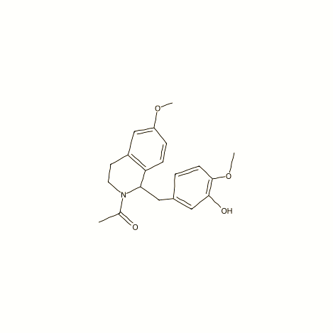 COc1ccc2c(c1)CCN(C(C)=O)C2Cc1ccc(OC)c(O)c1